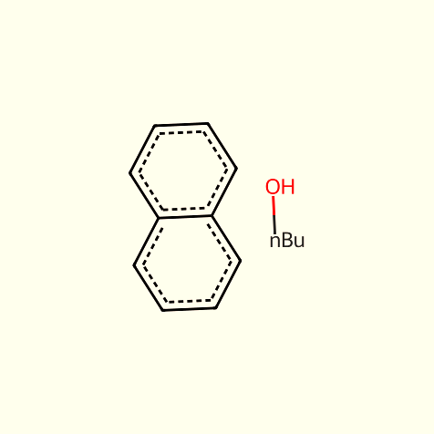 CCCCO.c1ccc2ccccc2c1